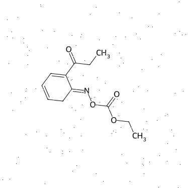 CCOC(=O)ON=C1CC=CC=C1C(=O)CC